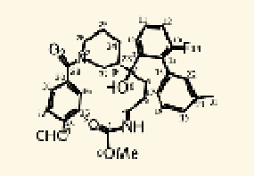 COC(=O)NCCCC(O)(c1cccc(F)c1-c1cccc(C)c1)[C@@H]1CCCN(C(=O)c2ccc(C=O)cc2)C1